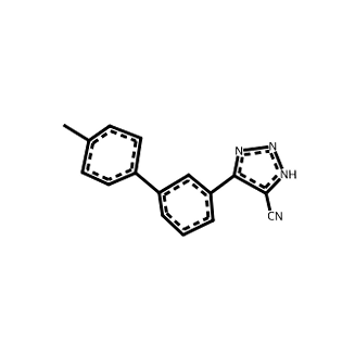 Cc1ccc(-c2cccc(-c3nn[nH]c3C#N)c2)cc1